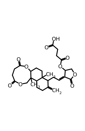 C=C1CCC2C3(C)COC(=O)CCC(=O)OC3CCC2(C)C1C/C=C1/C(=O)OCC1OC(=O)CCC(=O)O